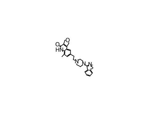 Cc1cc(CCN2CCN(c3nsc4ccccc34)CC2)cc2c3c(c(=O)[nH]c12)COC3